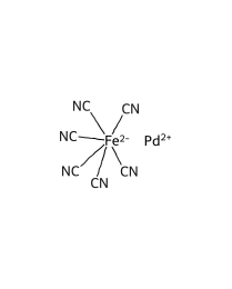 N#[C][Fe-2]([C]#N)([C]#N)([C]#N)([C]#N)[C]#N.[Pd+2]